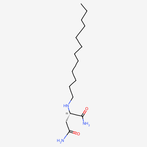 CCCCCCCCCCCCN[C@@H](CC(N)=O)C(N)=O